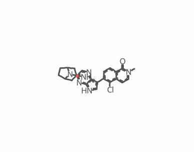 Cn1ccc2c(Cl)c(-c3c[nH]c4nc(N5C6CCC5CC(N)C6)cnc34)ccc2c1=O